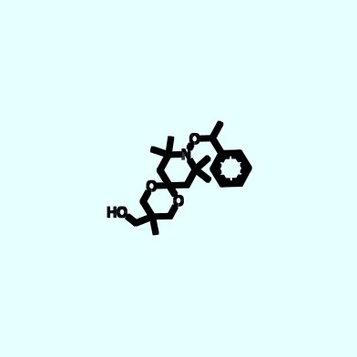 CC(ON1C(C)(C)CC2(CC1(C)C)OCC(C)(CO)CO2)c1ccccc1